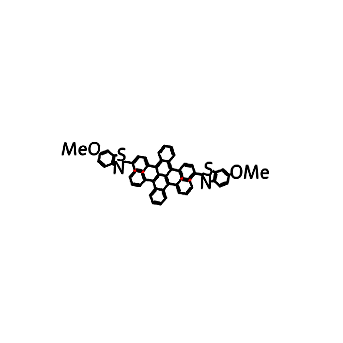 COc1ccc2nc(-c3ccc(-c4c5ccccc5c(-c5ccc(-c6nc7ccc(OC)cc7s6)cc5)c5c(-c6ccccc6)c6ccccc6c(-c6ccccc6)c45)cc3)sc2c1